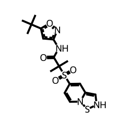 CC(C)(C)c1cc(NC(=O)C(C)(C)S(=O)(=O)C2=CC3=CNSN3C=C2)no1